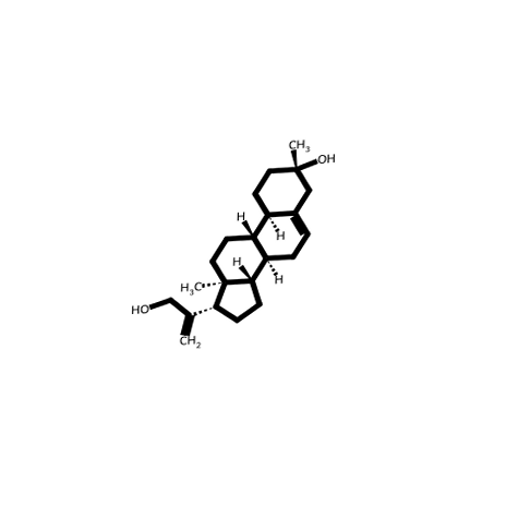 C=C(CO)[C@H]1CC[C@H]2[C@@H]3CC=C4C[C@@](C)(O)CC[C@@H]4[C@H]3CC[C@]12C